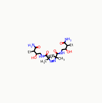 CCC(C(N)=O)C(O)CNC(=O)C(C)(C)/N=N\C(C)(C)C(=O)NCC(O)C(CC)C(N)=O